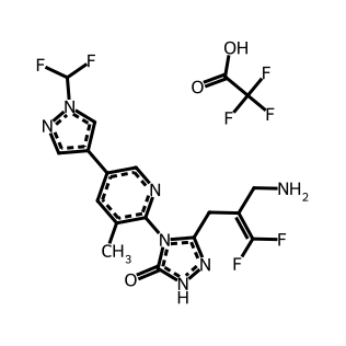 Cc1cc(-c2cnn(C(F)F)c2)cnc1-n1c(CC(CN)=C(F)F)n[nH]c1=O.O=C(O)C(F)(F)F